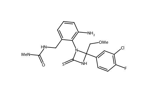 CNC(=O)NCc1cccc(N)c1N1C(=S)NC1(COC)c1ccc(F)c(Cl)c1